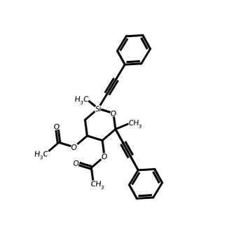 CC(=O)OC1C[Si](C)(C#Cc2ccccc2)OC(C)(C#Cc2ccccc2)C1OC(C)=O